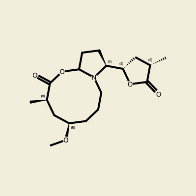 CO[C@@H]1CCCN2C(CC[C@H]2[C@@H]2C[C@H](C)C(=O)O2)OC(=O)[C@H](C)C1